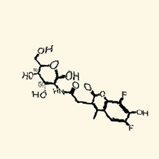 Cc1c(CC(=O)NC2C(O)OC(CO)[C@H](O)[C@H]2O)c(=O)oc2c(F)c(O)c(F)cc12